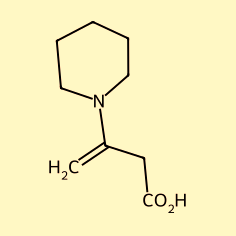 C=C(CC(=O)O)N1CCCCC1